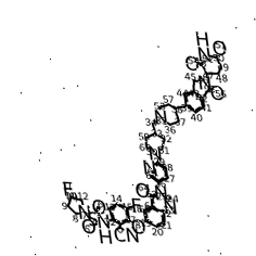 N#Cc1c(NS(=O)(=O)N2CC[C@@H](F)C2)ccc(F)c1Oc1ccc2ncn(-c3ccc(N4CCC(CN5CCC(c6ccc7c(c6)CN(C6CCC(=O)NC6=O)C7=O)CC5)CC4)nc3)c(=O)c2c1